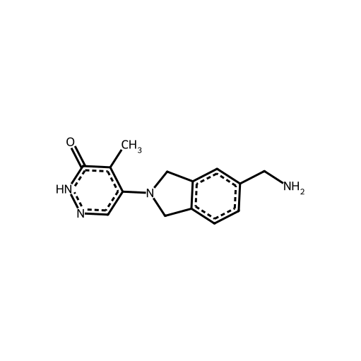 Cc1c(N2Cc3ccc(CN)cc3C2)cn[nH]c1=O